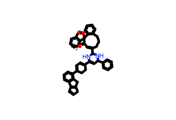 C=C1/C=C(/C2NC(C3=CC=C(c4cccc5c4CC4=C5C=CC4)CC3)=CC(c3ccccc3)N2)CCCc2ccccc2C12c1ccccc1-c1ccccc12